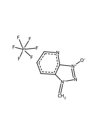 C=[N+]1N=[N+]([O-])c2ncccc21.F[P-](F)(F)(F)(F)F